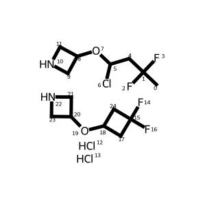 CC(F)(F)CC(Cl)OC1CNC1.Cl.Cl.FC1(F)CC(OC2CNC2)C1